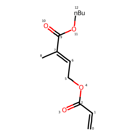 C=CC(=O)OCC=C(C)C(=O)OCCCC